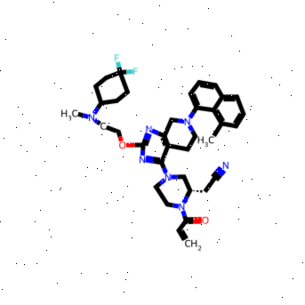 C=CC(=O)N1CCN(c2nc(OCCN(C)C3CCC(F)(F)CC3)nc3c2CCN(c2cccc4cccc(C)c24)C3)C[C@@H]1CC#N